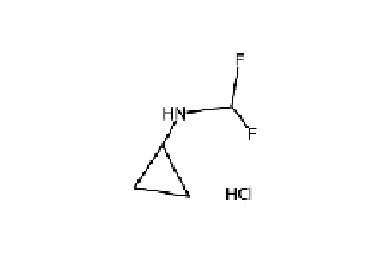 Cl.FC(F)NC1CC1